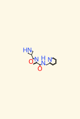 O=C(NCc1ccccn1)c1coc(C2CNC2)n1